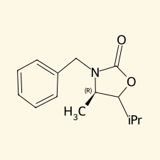 CC(C)C1OC(=O)N(Cc2ccccc2)[C@@H]1C